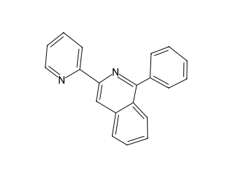 c1ccc(-c2nc(-c3ccccn3)cc3ccccc23)cc1